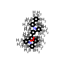 Bc1c(B)c(B)c(-c2c(B)c(B)c(B)c(-n3c4c(B)c(B)c(-c5c(B)c(B)c6c(c5B)c5c(B)c(B)c(B)c(B)c5n6-c5c(B)c(B)c(B)c(B)c5-c5c(B)c(B)c(B)c(B)c5B)cc4c4c(B)c(B)c(B)c(B)c43)c2B)c(B)c1B